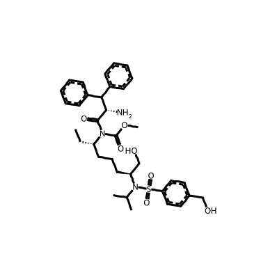 CC[C@@H](CCC[C@@H](CO)N(C(C)C)S(=O)(=O)c1ccc(CO)cc1)N(C(=O)OC)C(=O)[C@@H](N)C(c1ccccc1)c1ccccc1